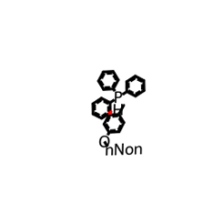 CCCCCCCCCOc1ccc(C[PH](c2ccccc2)(c2ccccc2)c2ccccc2)cc1